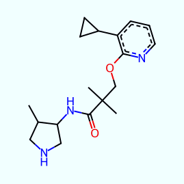 CC1CNCC1NC(=O)C(C)(C)COc1ncccc1C1CC1